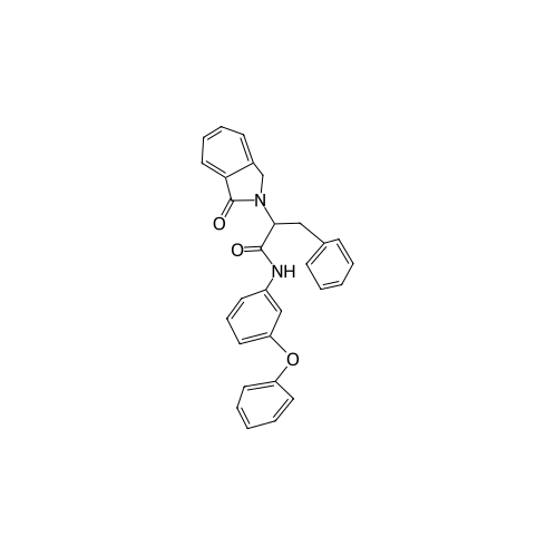 O=C(Nc1cccc(Oc2ccccc2)c1)C(Cc1ccccc1)N1Cc2ccccc2C1=O